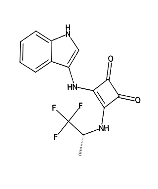 C[C@@H](Nc1c(Nc2c[nH]c3ccccc23)c(=O)c1=O)C(F)(F)F